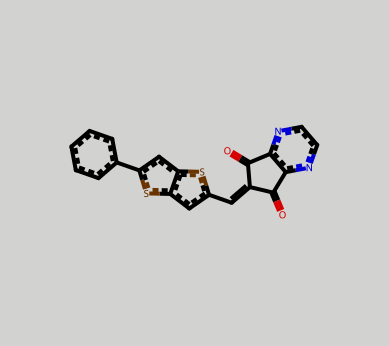 O=C1C(=Cc2cc3sc(-c4ccccc4)cc3s2)C(=O)c2nccnc21